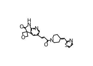 O=C(/C=C/c1cnc2c(c1)C1(COC1)C(=O)N2)N1CCC(=Cc2nccs2)CC1